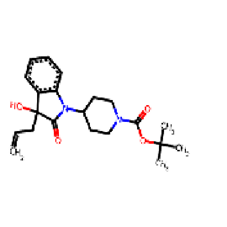 C=CCC1(O)C(=O)N(C2CCN(C(=O)OC(C)(C)C)CC2)c2ccccc21